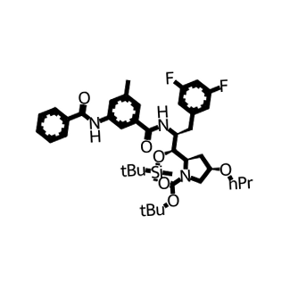 CCCO[C@@H]1C[C@H]([C@@H](O[Si](C)(C)C(C)(C)C)[C@H](Cc2cc(F)cc(F)c2)NC(=O)c2cc(C)cc(NC(=O)c3ccccc3)c2)N(C(=O)OC(C)(C)C)C1